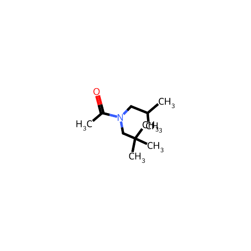 CC(=O)N(CC(C)C)CC(C)(C)C